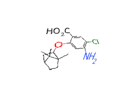 CC1(C)C2CCC1(C)C(Oc1cc(N)c(Cl)cc1C(=O)O)C2